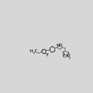 CCc1ccc(-c2ccc(C3=NOC(CC(C=O)SC)C3)cc2)c(F)c1